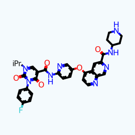 CC(C)n1cc(C(=O)Nc2ccc(Oc3ccnc4cnc(C(=O)NC5CCNCC5)cc34)cn2)c(=O)n(-c2ccc(F)cc2)c1=O